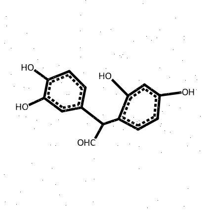 O=CC(c1ccc(O)c(O)c1)c1ccc(O)cc1O